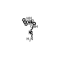 NCCCn1cc(CCC(=O)Nc2cccc(S(=O)(=O)NC(=O)Nc3c4c(cc5c3CCC5)CCC4)c2)nn1